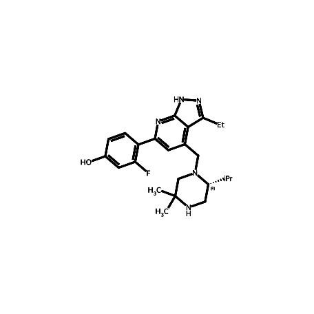 CCc1n[nH]c2nc(-c3ccc(O)cc3F)cc(CN3CC(C)(C)NC[C@H]3C(C)C)c12